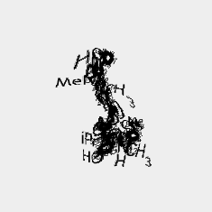 CNc1nnc(-c2ccccc2O)cc1N1CCN(C2CCN(C(=O)COc3cc([C@H](C(=O)N4C[C@H](O)C[C@H]4C(=O)N[C@@H](C)c4ccc(-c5scnc5C)cc4)C(C)C)on3)CC2C)CC1